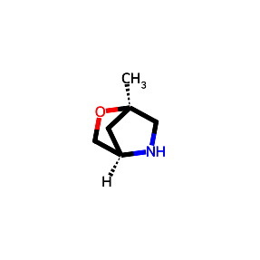 C[C@@]12CN[C@@H](CO1)C2